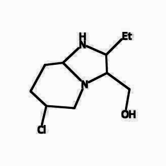 CCC1NC2CCC(Cl)CN2C1CO